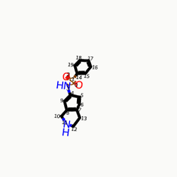 O=S(=O)(Nc1ccc2c(c1)CNCC2)c1ccccc1